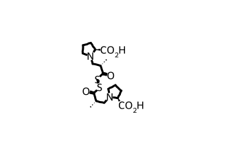 C[C@@H](CN1CCC[C@H]1C(=O)O)C(=O)SSC(=O)[C@@H](C)CN1CCC[C@H]1C(=O)O